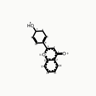 O=c1cc(C2=CCC(O)C=C2)oc2ccccc12